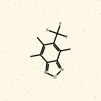 Cc1c(C(F)(F)F)c(C)c2nonc2c1C